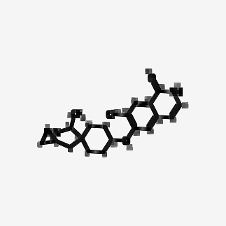 NC(C(F)(F)F)C1(CC2CC2)CCC(Oc2cc3cc[nH]c(=O)c3cc2Cl)CC1